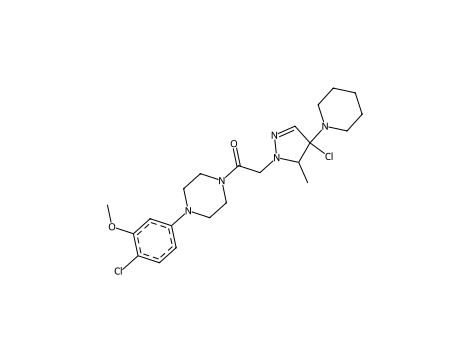 COc1cc(N2CCN(C(=O)CN3N=CC(Cl)(N4CCCCC4)C3C)CC2)ccc1Cl